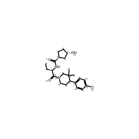 CC[C@@H](NC(=O)[C@H]1CC[C@H](O)C1)C(=O)N1CCC(c2ccc(Cl)cc2)C(C)(C)C1